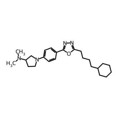 CN(C)C1CCN(c2ccc(-c3nnc(CCCCC4CCCCC4)o3)cc2)C1